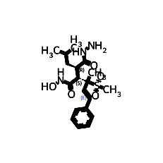 CC(C)C[C@@H](C(=O)NN)[C@@H](C(=O)NO)C(C)(/C=C/c1ccccc1)S(C)(=O)=O